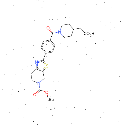 CC(C)(C)OC(=O)N1CCc2nc(-c3ccc(C(=O)N4CCC(CC(=O)O)CC4)cc3)sc2C1